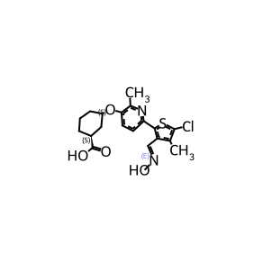 Cc1nc(-c2sc(Cl)c(C)c2/C=N/O)ccc1O[C@H]1CCC[C@H](C(=O)O)C1